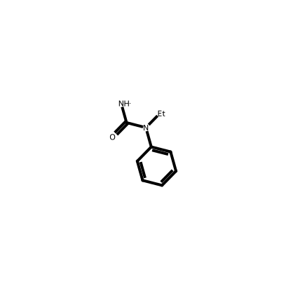 CCN(C([NH])=O)c1ccccc1